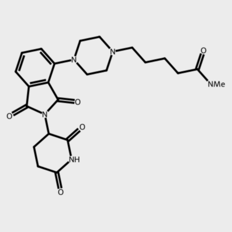 CNC(=O)CCCCN1CCN(c2cccc3c2C(=O)N(C2CCC(=O)NC2=O)C3=O)CC1